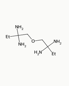 CCC(N)(N)COCC(N)(N)CC